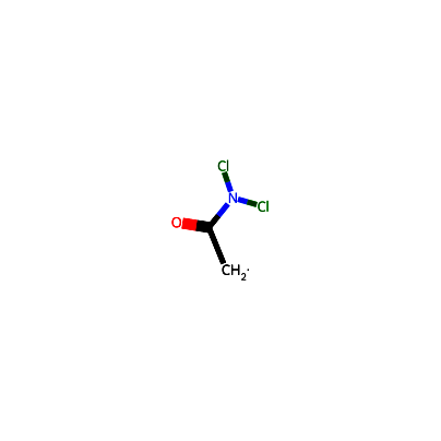 [CH2]C(=O)N(Cl)Cl